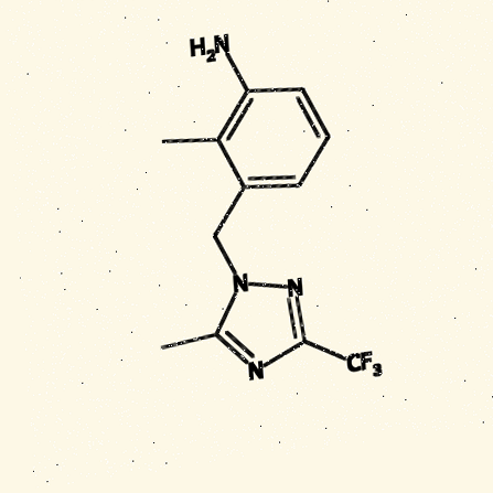 Cc1c(N)cccc1Cn1nc(C(F)(F)F)nc1C